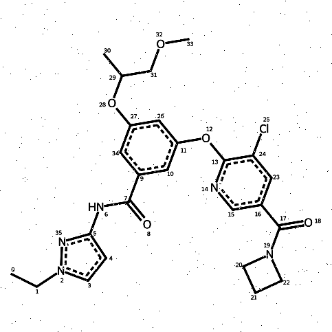 CCn1ccc(NC(=O)c2cc(Oc3ncc(C(=O)N4CCC4)cc3Cl)cc(OC(C)COC)c2)n1